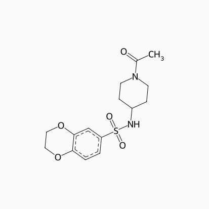 CC(=O)N1CCC(NS(=O)(=O)c2ccc3c(c2)OCCO3)CC1